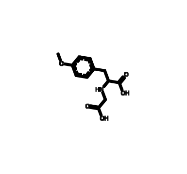 COc1ccc(CC(NCC(=O)O)C(=O)O)cc1